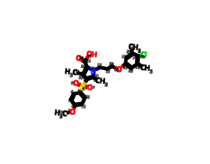 COc1ccc(S(=O)(=O)c2c(C)c(C(=O)O)n(CCCOc3cc(C)c(Cl)c(C)c3)c2C)cc1